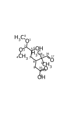 COC(OC)C(O)CC(CC(=O)O)C(C)(C)C=O